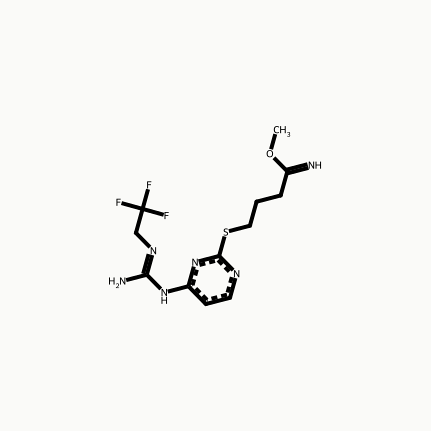 COC(=N)CCCSc1nccc(NC(N)=NCC(F)(F)F)n1